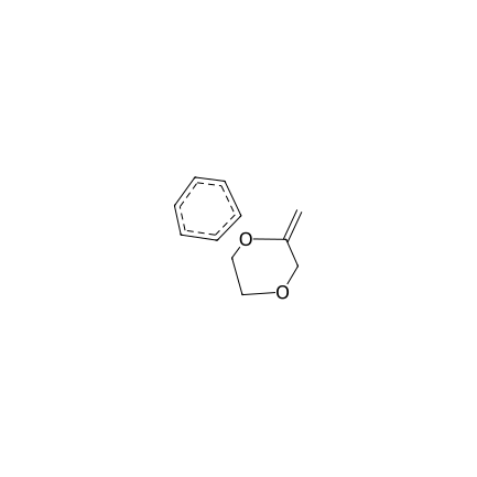 C=C1COCCO1.c1ccccc1